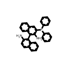 Nc1ccc2ccccc2c1-c1c(N)c(P(c2ccccc2)c2ccccc2)cc2ccccc12